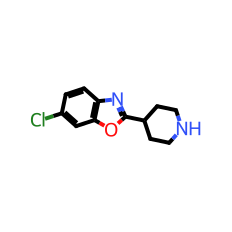 Clc1ccc2nc(C3CCNCC3)oc2c1